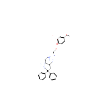 COc1cc(C(C)=O)ccc1OCCCN1CCCC(CC(C#N)(c2ccccc2)c2ccccc2)C1